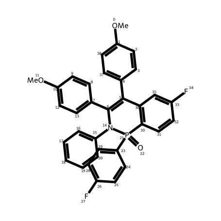 COc1ccc(C2=C(c3ccc(OC)cc3)N(c3ccccc3)P(=O)(c3ccc(F)cc3)c3ccc(F)cc32)cc1